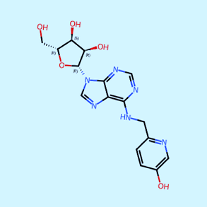 OC[C@H]1O[C@@H](n2cnc3c(NCc4ccc(O)cn4)ncnc32)[C@H](O)[C@@H]1O